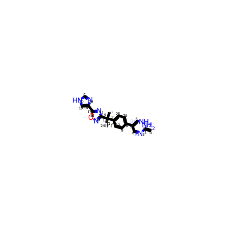 C=C(N)/N=C\C(=C/N)c1ccc(C(C)(c2noc(-c3c[nH]cn3)n2)C(C)C)cc1